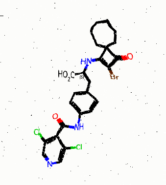 O=C(Nc1ccc(C[C@H](NC2=C(Br)C(=O)C23CCCCCC3)C(=O)O)cc1)c1c(Cl)cncc1Cl